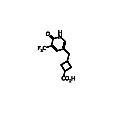 O=C(O)C1CC(Cc2c[nH]c(=O)c(C(F)(F)F)c2)C1